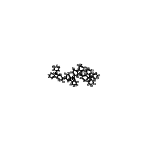 c1ccc(-n2c3ccccc3c3ccc(-c4ccc5c(c4)c4ccccc4n5-c4ccc5c6ccccc6n(-c6cccc([Si](c7ccccc7)(c7ccccc7)c7ccccc7)c6)c5c4)cc32)cc1